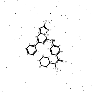 Cc1cc2nc(-c3ccccc3)cc(Nc3ccc(C(=O)N(C)C4CCCCC4)cc3)n2n1